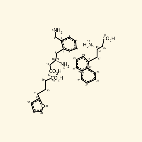 NCc1ccccc1C[C@H](N)CC(=O)O.N[C@H](CC(=O)O)Cc1cccc2ccccc12.O=C(O)CCCc1ccco1